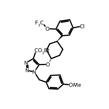 CCOC(=O)c1nnn(Cc2ccc(OC)cc2)c1O[C@H]1CC[C@H](c2cc(Cl)ccc2OC(F)(F)F)CC1